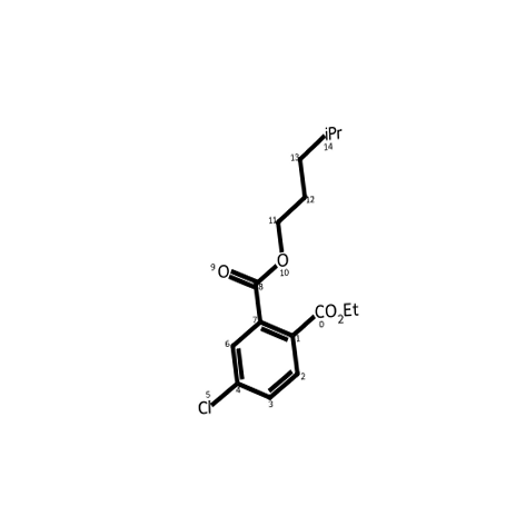 CCOC(=O)c1ccc(Cl)cc1C(=O)OCCCC(C)C